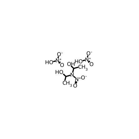 CC(O)N(C(C)O)[N+](=O)[O-].O=[N+]([O-])O.O=[N+]([O-])O